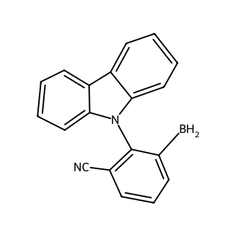 Bc1cccc(C#N)c1-n1c2ccccc2c2ccccc21